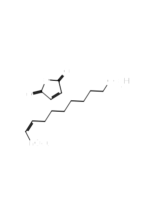 CCCCCCCC/C=C\CCCCCCCC(=O)O.O=C1C=CC(=O)O1